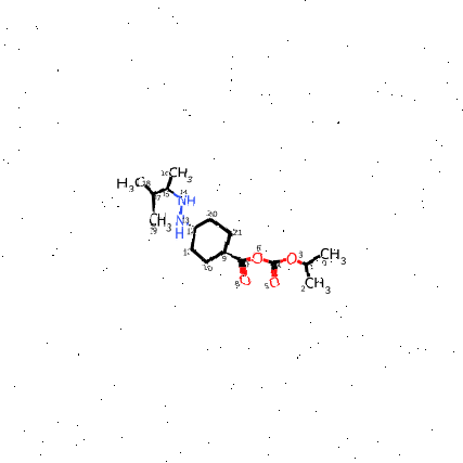 CC(C)OC(=O)OC(=O)[C@H]1CC[C@H](NNC(C)C(C)C)CC1